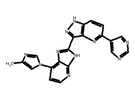 Cc1cn(-c2ccnc3[nH]c(-c4n[nH]c5ccc(-c6cncnc6)nc45)nc23)cn1